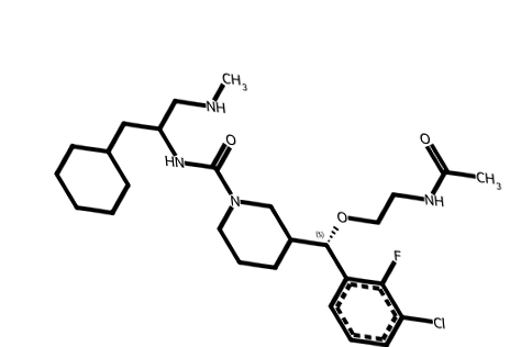 CNCC(CC1CCCCC1)NC(=O)N1CCCC([C@H](OCCNC(C)=O)c2cccc(Cl)c2F)C1